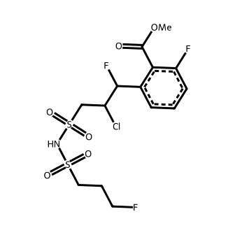 COC(=O)c1c(F)cccc1C(F)C(Cl)CS(=O)(=O)NS(=O)(=O)CCCF